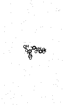 Cc1ccc(NC(=O)c2ccc3c(c2)OC(C)(C)O3)cc1-c1cc(OCCO)nc(N2CCOCC2)c1